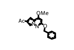 COc1cc(OCc2ccccc2)nn2cc(C(C)=O)cc12